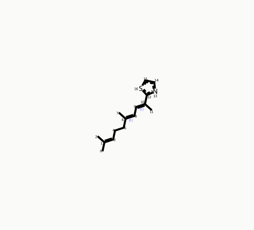 CC(C)=CCC/C(C)=C/C=C(\C)c1nccs1